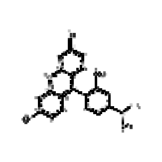 CSC(C)c1ccc(-c2c3ccc(=N)cc-3oc3cc(N)ccc23)c(C(=O)O)c1